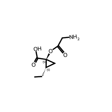 CC[C@H]1C[C@@]1(OC(=O)CN)C(=O)O